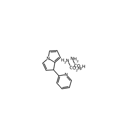 C1=Cn2cccc2C1c1ccccn1.NC(=O)O.NC(=O)O